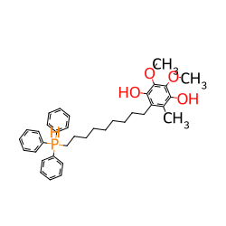 COc1c(O)c(C)c(CCCCCCCCC[PH](c2ccccc2)(c2ccccc2)c2ccccc2)c(O)c1OC